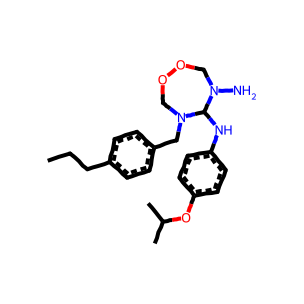 CCCc1ccc(CN2COOCN(N)C2Nc2ccc(OC(C)C)cc2)cc1